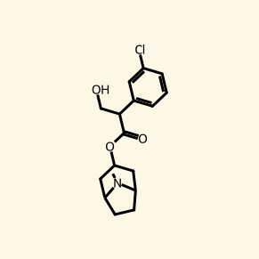 CN1C2CCC1CC(OC(=O)C(CO)c1cccc(Cl)c1)C2